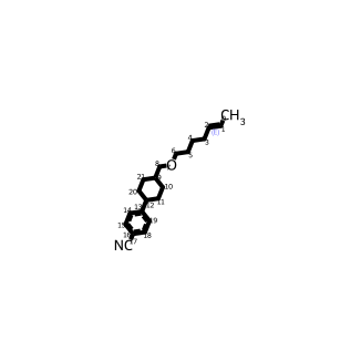 C/C=C/CCCCOCC1CCC(c2ccc(C#N)cc2)CC1